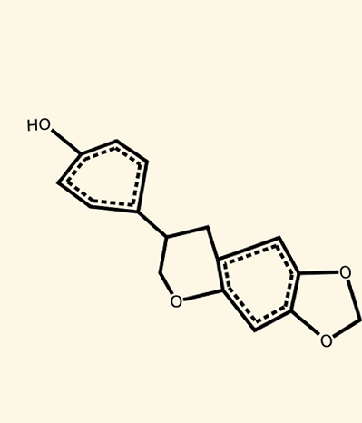 Oc1ccc(C2COc3cc4c(cc3C2)OCO4)cc1